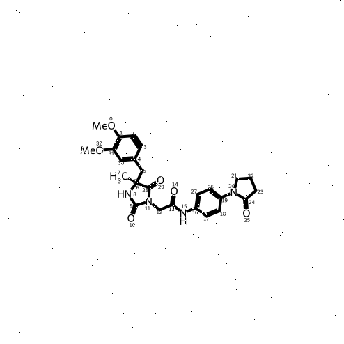 COc1c#cc(C[C@@]2(C)NC(=O)N(CC(=O)Nc3ccc(N4CCCC4=O)cc3)C2=O)cc1OC